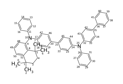 CC1(C)CCC(C)(C)c2c(N(c3ccccc3)c3ccc(-c4ccc(N(c5ccccc5)c5ccc(-c6ccccc6)cc5)cc4)cc3)cccc21